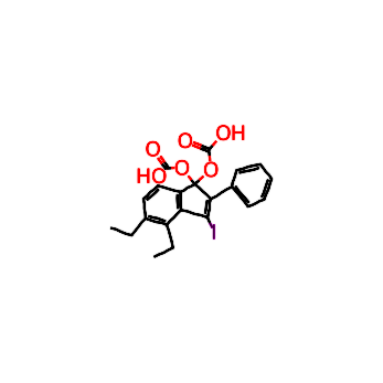 CCc1ccc2c(c1CC)C(I)=C(c1ccccc1)C2(OC(=O)O)OC(=O)O